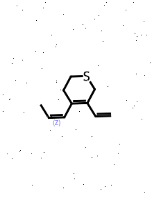 C=CC1=C(/C=C\C)CCSC1